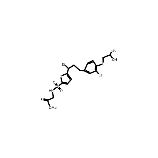 CCc1cc(CCC(CC)c2ccc(S(=O)(=O)NCC(=O)OC)s2)ccc1OCC(O)C(C)(C)C